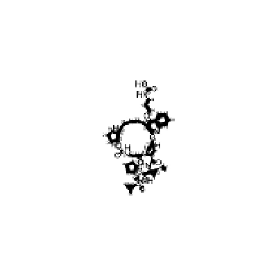 C=C[C@@H]1C[C@]1(NC(=O)[C@@H]1C[C@@H]2CN1C(=O)[C@H](C1CCCC1)NC(=O)O[C@@H]1CCC[C@H]1CCC=CCc1c(nc3ccccc3c1OCCCNC(=O)O)O2)C(=O)NS(=O)(=O)C1CC1